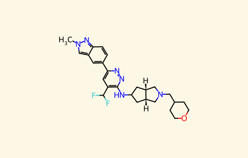 Cn1cc2cc(-c3cc(C(F)F)c(NC4C[C@@H]5CN(CC6CCOCC6)C[C@@H]5C4)nn3)ccc2n1